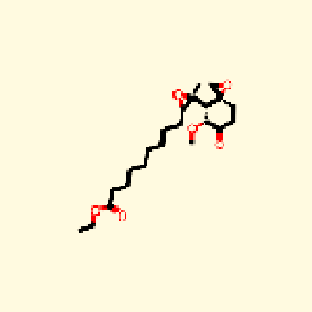 CCOC(=O)CCCCC/C=C/C[C@H]1O[C@]1(C)[C@H]1[C@H](OC)C(=O)CC[C@]12CO2